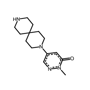 Cn1ncc(N2CCC3(CCNCC3)CC2)cc1=O